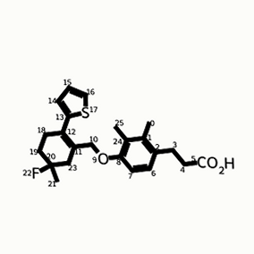 Cc1c(CCC(=O)O)ccc(OCC2=C(c3cccs3)CCC(C)(F)C2)c1C